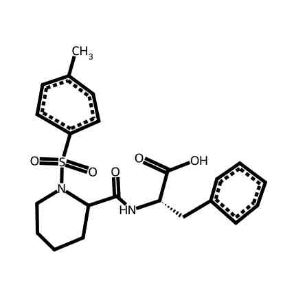 Cc1ccc(S(=O)(=O)N2CCCCC2C(=O)N[C@@H](Cc2ccccc2)C(=O)O)cc1